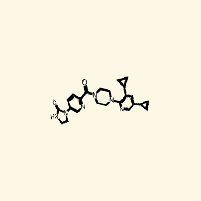 O=C(c1ccc(N2CCNC2=O)cn1)N1CCN(c2ncc(C3CC3)cc2C2CC2)CC1